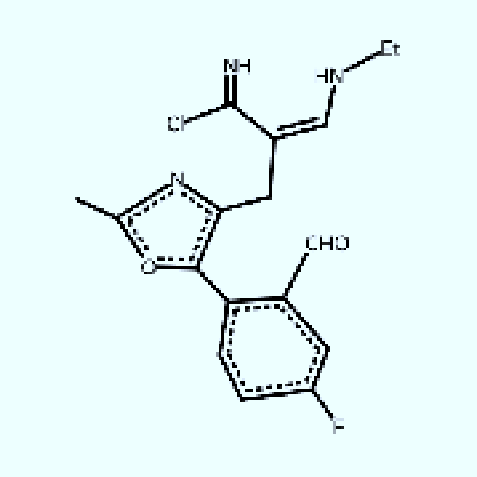 CCN/C=C(/Cc1nc(C)oc1-c1ccc(F)cc1C=O)C(=N)Cl